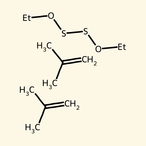 C=C(C)C.C=C(C)C.CCOSSOCC